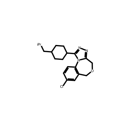 CC(C)CC1CCC(c2nnc3n2-c2ccc(Cl)cc2COC3)CC1